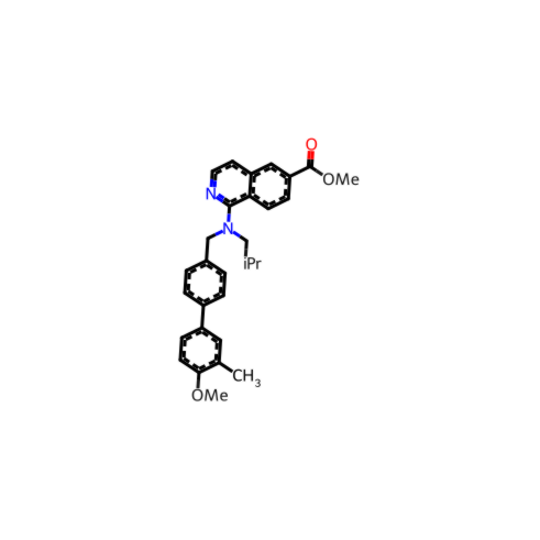 COC(=O)c1ccc2c(N(Cc3ccc(-c4ccc(OC)c(C)c4)cc3)CC(C)C)nccc2c1